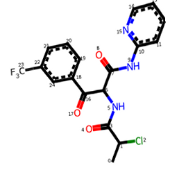 CC(Cl)C(=O)NC(C(=O)Nc1ccccn1)C(=O)c1cccc(C(F)(F)F)c1